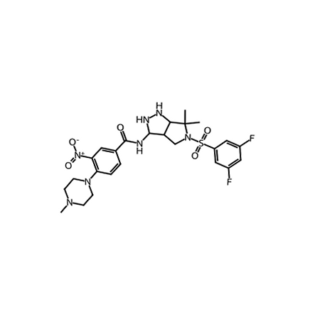 CN1CCN(c2ccc(C(=O)NC3NNC4C3CN(S(=O)(=O)c3cc(F)cc(F)c3)C4(C)C)cc2[N+](=O)[O-])CC1